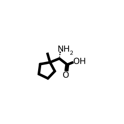 CC1([C@H](N)C(=O)O)CCCC1